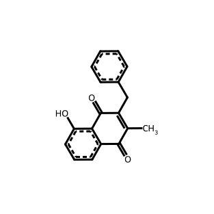 CC1=C(Cc2ccccc2)C(=O)c2c(O)cccc2C1=O